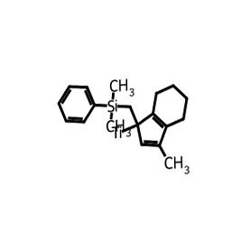 CC1=C[C]([Ti])(C[Si](C)(C)c2ccccc2)C2=C1CCCC2